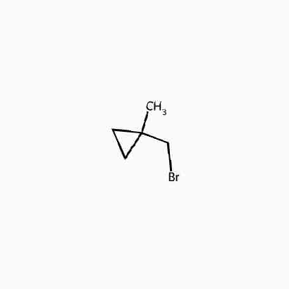 CC1(CBr)CC1